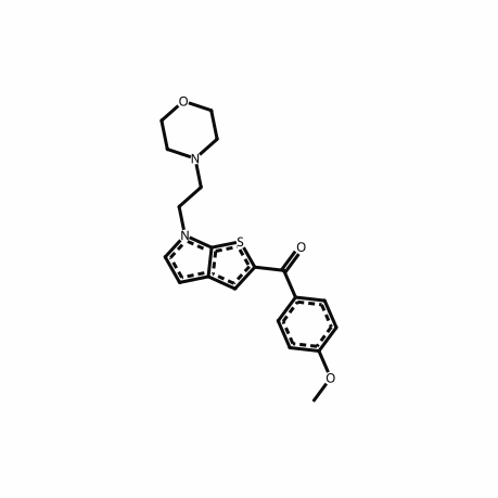 COc1ccc(C(=O)c2cc3ccn(CCN4CCOCC4)c3s2)cc1